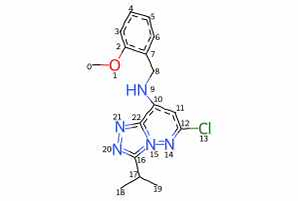 COc1ccccc1CNc1cc(Cl)nn2c(C(C)C)nnc12